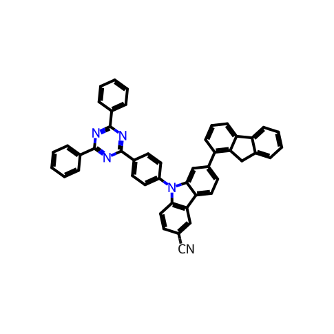 N#Cc1ccc2c(c1)c1ccc(-c3cccc4c3Cc3ccccc3-4)cc1n2-c1ccc(-c2nc(-c3ccccc3)nc(-c3ccccc3)n2)cc1